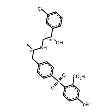 CCCc1ccc(S(=O)(=O)c2ccc(C[C@@H](C)NC[C@@H](O)c3cccc(Cl)c3)cc2)c(C(=O)O)c1